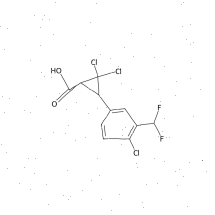 O=C(O)C1C(c2ccc(Cl)c(C(F)F)c2)C1(Cl)Cl